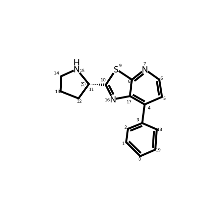 c1ccc(-c2ccnc3sc([C@@H]4CCCN4)nc23)cc1